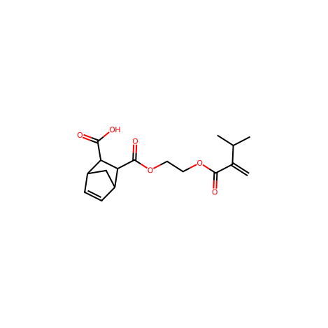 C=C(C(=O)OCCOC(=O)C1C2C=CC(C2)C1C(=O)O)C(C)C